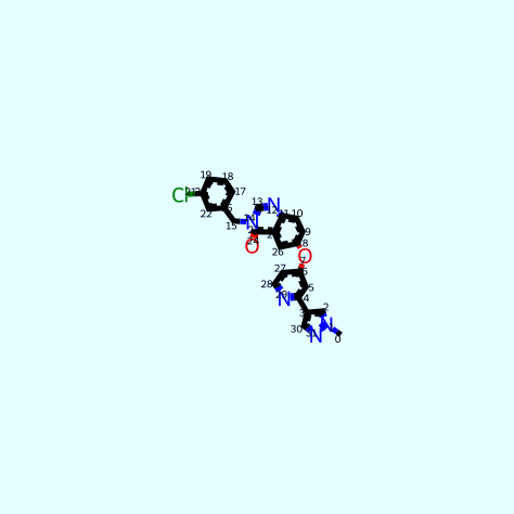 Cn1cc(-c2cc(Oc3ccc4ncn(Cc5cccc(Cl)c5)c(=O)c4c3)ccn2)cn1